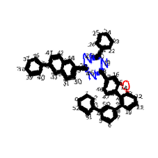 c1ccc(-c2cccc(-c3cccc4oc5cc(-c6nc(-c7ccccc7)nc(-c7ccc8cc(-c9ccccc9)ccc8c7)n6)ccc5c34)c2)cc1